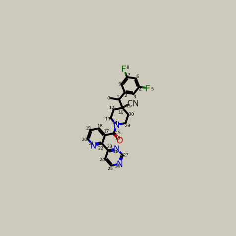 CC(c1cc(F)cc(F)c1)C1(C#N)CCN(C(=O)c2cccnc2-c2ccncn2)CC1